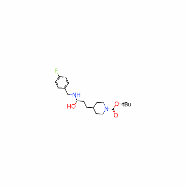 CC(C)(C)OC(=O)N1CCC(CCC(O)NCc2ccc(F)cc2)CC1